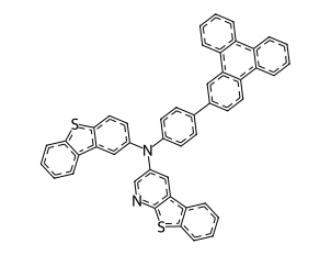 c1ccc2c(c1)sc1ccc(N(c3ccc(-c4ccc5c6ccccc6c6ccccc6c5c4)cc3)c3cnc4sc5ccccc5c4c3)cc12